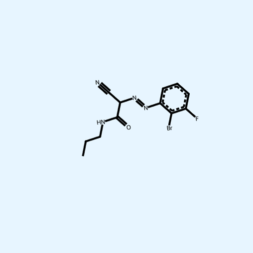 CCCNC(=O)C(C#N)N=Nc1cccc(F)c1Br